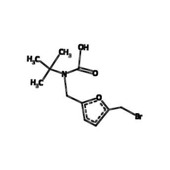 CC(C)(C)N(Cc1ccc(CBr)o1)C(=O)O